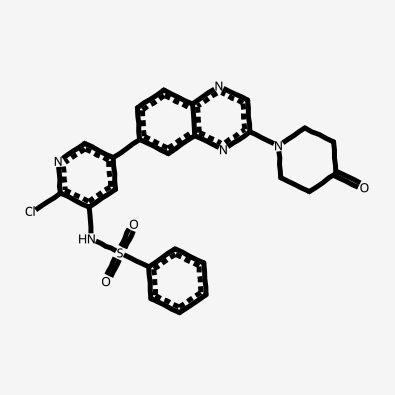 O=C1CCN(c2cnc3ccc(-c4cnc(Cl)c(NS(=O)(=O)c5ccccc5)c4)cc3n2)CC1